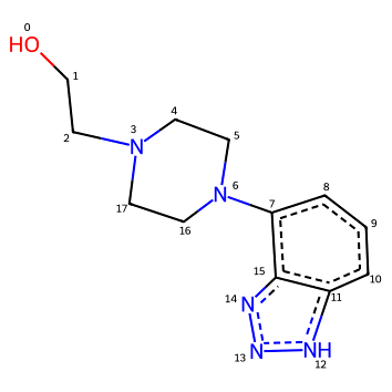 OCCN1CCN(c2cccc3[nH]nnc23)CC1